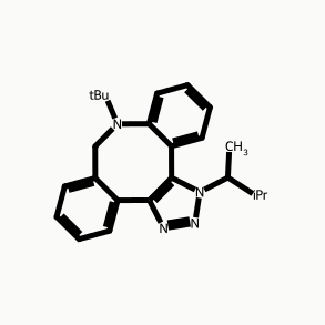 CC(C)C(C)n1nnc2c1-c1ccccc1N(C(C)(C)C)Cc1ccccc1-2